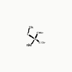 CCCC[Si](OC)(OC)OC(C)(C)C